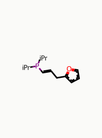 CC(C)P(C=CCc1ccco1)C(C)C